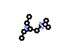 c1ccc(-c2ccc3c(c2)c2cc(-c4cccc(-c5cnc6c7ccccc7c7ccccc7c6n5)c4)cc4c5cc(-c6ccccc6)ccc5n3c24)cc1